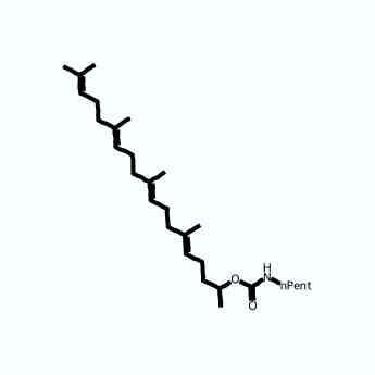 CCCCCNC(=O)OC(C)CC/C=C(\C)CC/C=C(\C)CC/C=C(\C)CCC=C(C)C